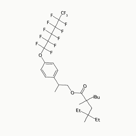 CCC(C)C(C)(CC(C)(CC)CC)C(=O)OCC(C)c1ccc(OC(F)(F)C(F)(F)C(F)(F)C(F)(F)C(F)(F)C(F)(F)F)cc1